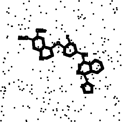 COc1cc2nccc(Oc3ccc(Nc4nnc(-c5cccs5)c5ccccc45)cc3F)c2cc1OC